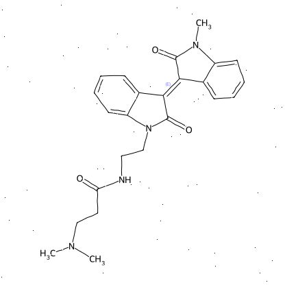 CN(C)CCC(=O)NCCN1C(=O)/C(=C2/C(=O)N(C)c3ccccc32)c2ccccc21